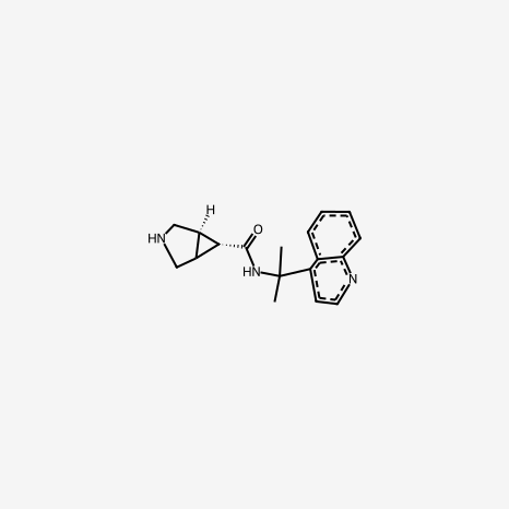 CC(C)(NC(=O)[C@@H]1C2CNC[C@H]21)c1ccnc2ccccc12